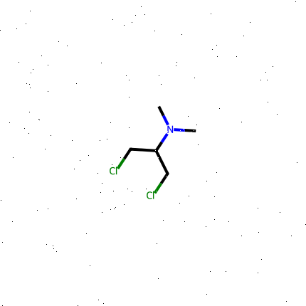 CN(C)C(CCl)CCl